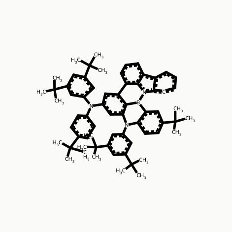 CC(C)(C)c1ccc(N(c2cc(C(C)(C)C)cc(C(C)(C)C)c2)c2cc3c4c(c2)N(c2cc(C(C)(C)C)cc(C(C)(C)C)c2)c2ccc(C(C)(C)C)cc2B4n2c4ccccc4c4cccc-3c42)cc1